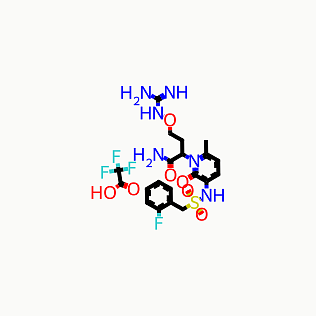 Cc1ccc(NS(=O)(=O)Cc2ccccc2F)c(=O)n1C(CCONC(=N)N)C(N)=O.O=C(O)C(F)(F)F